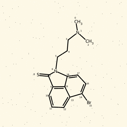 CN(C)CCCN1C(=S)c2cccc3c(Br)ccc1c23